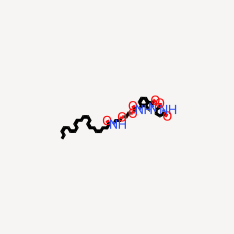 CC/C=C\C/C=C\C/C=C\C/C=C\C/C=C\C/C=C\CCC(=O)NCCOCCOC(=O)Nc1cccc2c1CN(C1CCC(=O)NC1=O)C2=O